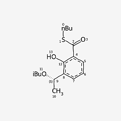 CCCCSC(=O)c1cccc([C@H](C)OCC(C)C)c1O